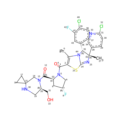 CC(C)C1=C(C(=O)N2C[C@H](F)C[C@H]2C(=O)N2CC3(CC3)NC[C@@H]2CO)SC2=N[C@@](C)(c3ccc(Cl)nc3)[C@@H](c3ccc(Cl)c(F)c3)N21